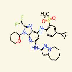 CS(=O)(=O)c1cc(C2CC2)ccc1Nc1cc(Nc2cc3n(n2)CCCCC3)nc2c1nc(C(F)F)n2C1CCCCO1